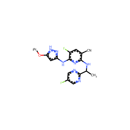 CC(C)Oc1cc(Nc2nc(NC(C)c3ncc(F)cn3)c(C#N)cc2F)n[nH]1